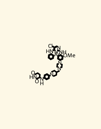 COc1cc(N2CCN(CC3CCN(c4ccc(NC5CCC(=O)NC5=O)cc4)CC3)CC2)ccc1Nc1ncc(Cl)c(Nc2ccccc2C(C)=O)n1